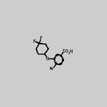 O=C(O)c1ccc(Br)c(OC2CCC(F)(F)CC2)c1